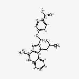 CC(C)Cn1c(COc2ccc([N+](=O)[O-])cc2)nc2c(N)nc3ccccc3c21